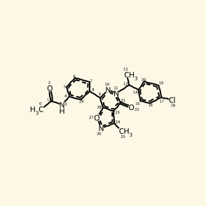 CC(=O)Nc1cccc(-c2nn(C(C)c3ccc(Cl)cc3)c(=O)c3c(C)noc23)c1